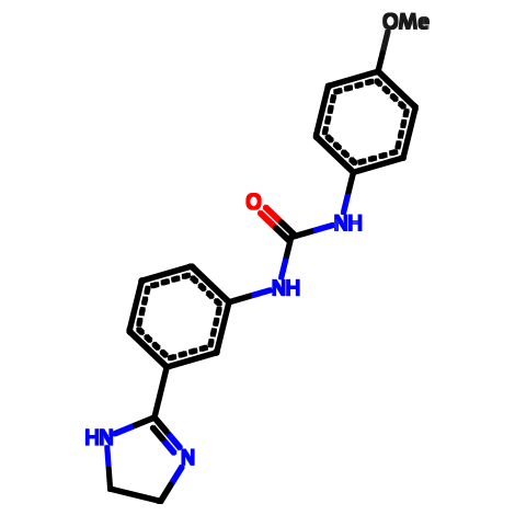 COc1ccc(NC(=O)Nc2cccc(C3=NCCN3)c2)cc1